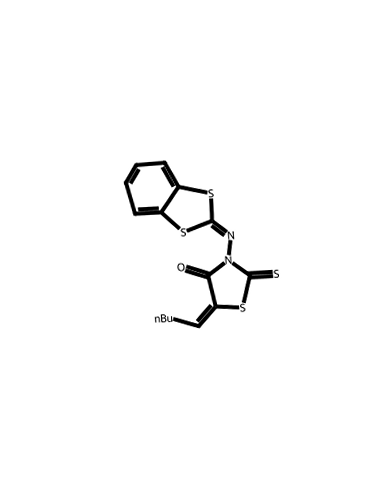 CCCCC=C1SC(=S)N(N=c2sc3ccccc3s2)C1=O